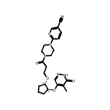 Cc1c(O[C@H]2CCC[C@@H]2OCCC(=O)N2CCN(c3ccc(C#N)cn3)CC2)cn[nH]c1=O